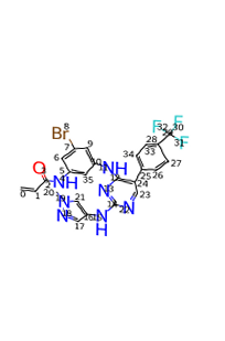 C=CC(=O)Nc1cc(Br)cc(Nc2nc(Nc3cnn(C)c3)ncc2-c2ccc(C(F)(F)F)cc2)c1